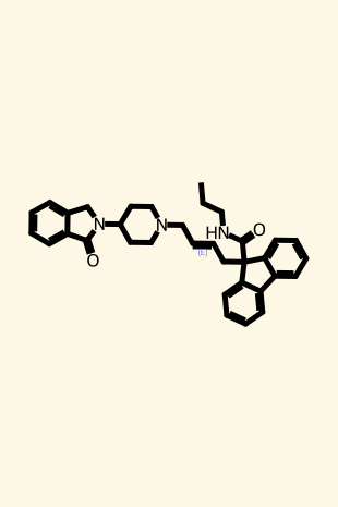 CCCNC(=O)C1(C/C=C/CN2CCC(N3Cc4ccccc4C3=O)CC2)c2ccccc2-c2ccccc21